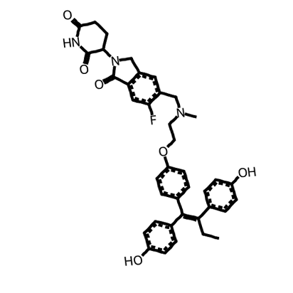 CCC(=C(c1ccc(O)cc1)c1ccc(OCCN(C)Cc2cc3c(cc2F)C(=O)N(C2CCC(=O)NC2=O)C3)cc1)c1ccc(O)cc1